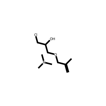 C=C(C)COCC(O)CCl.CN(C)C